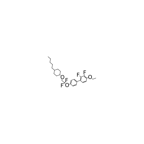 CCCCCC1CCC(OCC(F)(F)Oc2ccc(-c3ccc(OCC)c(F)c3F)cc2)CC1